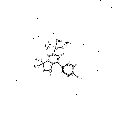 C[C@@]1(C#N)COc2c1cc([C@@](O)(CN)C(F)(F)F)nc2-c1ccc(F)cc1